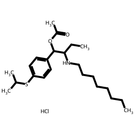 CCCCCCCCNC(CC)C(OC(C)=O)c1ccc(SC(C)C)cc1.Cl